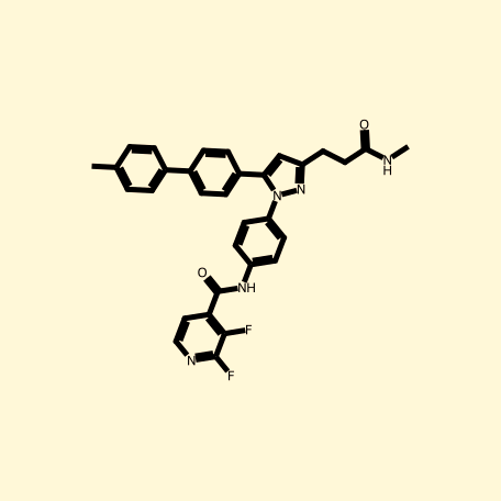 CNC(=O)CCc1cc(-c2ccc(-c3ccc(C)cc3)cc2)n(-c2ccc(NC(=O)c3ccnc(F)c3F)cc2)n1